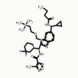 Cc1nonc1C(=O)N[C@H](c1nc2ccc([C@H](NC(=O)CCC(F)(F)F)C3CC3)cc2n1COCC[Si](C)(C)C)[C@@H]1CCCC(F)(F)C1